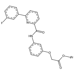 CC(C)OC(=O)COc1cccc(NC(=O)c2cccc(-c3cccc(F)c3)n2)c1